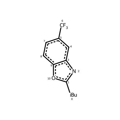 CCC(C)c1nc2cc(C(F)(F)F)ccc2o1